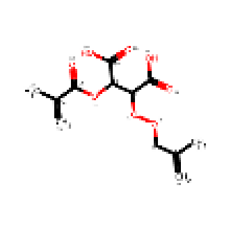 C=C(C)COOC(C(=O)O)C(OC(=O)C(=C)C)C(=O)O